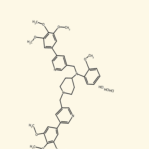 COc1ccccc1N(Cc1cncc(-c2cc(OC)c(OC)c(OC)c2)c1)C1CCN(Cc2cncc(-c3cc(OC)c(OC)c(OC)c3)c2)CC1.Cl.Cl.Cl